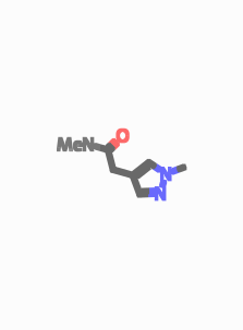 CNC(=O)Cc1cnn(C)c1